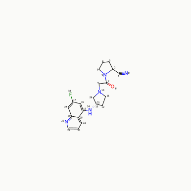 N#CC1CCCN1C(=O)CN1CC[C@H](Nc2cc(F)cc3ncccc23)C1